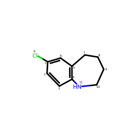 Clc1ccc2c(c1)CCCCN2